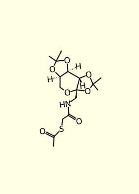 CC(=O)SCC(=O)NC[C@@]12OC[C@H]3OC(C)(C)O[C@H]3[C@@H]1OC(C)(C)O2